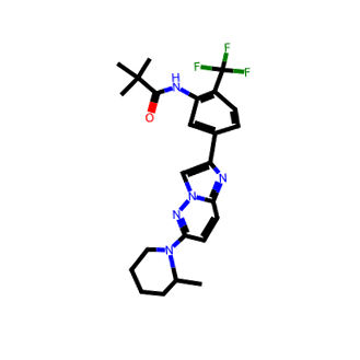 CC1CCCCN1c1ccc2nc(-c3ccc(C(F)(F)F)c(NC(=O)C(C)(C)C)c3)cn2n1